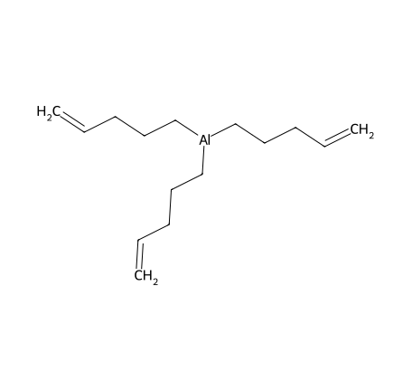 C=CCC[CH2][Al]([CH2]CCC=C)[CH2]CCC=C